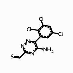 Nc1nc(C=S)nnc1-c1cc(Cl)cc(Cl)c1Cl